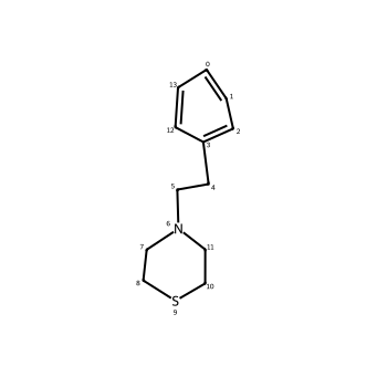 c1ccc(CCN2CCSCC2)cc1